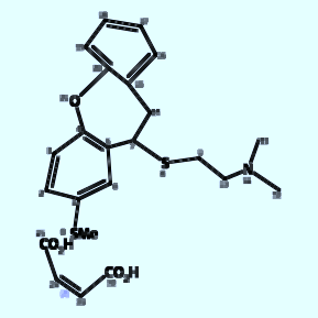 CSc1ccc2c(c1)C(SCCN(C)C)Cc1ccccc1O2.O=C(O)/C=C\C(=O)O